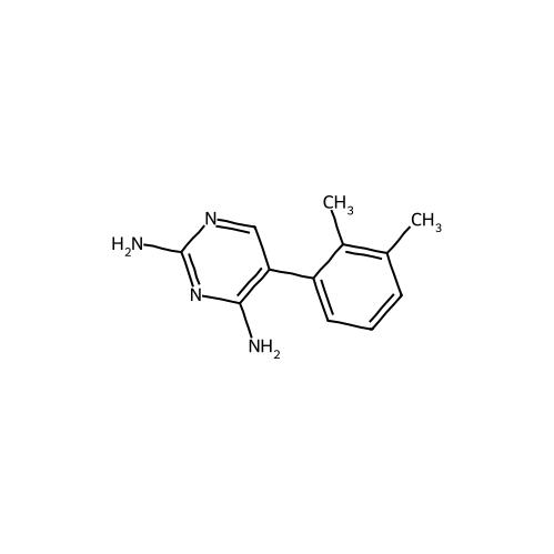 Cc1cccc(-c2cnc(N)nc2N)c1C